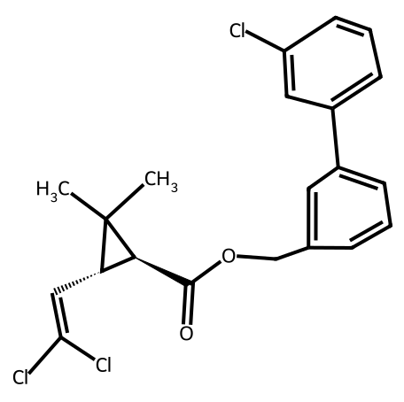 CC1(C)[C@@H](C=C(Cl)Cl)[C@@H]1C(=O)OCc1cccc(-c2cccc(Cl)c2)c1